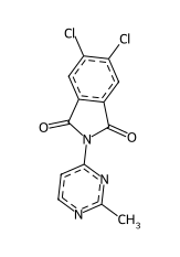 Cc1nccc(N2C(=O)c3cc(Cl)c(Cl)cc3C2=O)n1